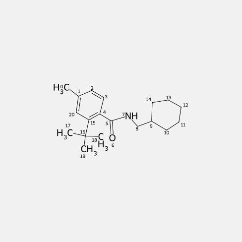 Cc1ccc(C(=O)NCC2CCCCC2)c(C(C)(C)C)c1